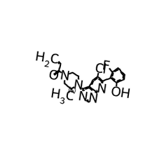 C=CC(=O)N1CCN(c2ncnc3nc(-c4c(O)cccc4F)c(Cl)cc23)[C@@H](C)C1